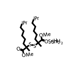 COC(=O)C(C)(CCCCCC(C)C)SSC(C)(CCCCCC(C)C)C(=O)OC.[SnH2].[SnH2]